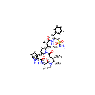 CC[C@H](C)[C@@H]([C@@H](CC(=O)N1CCC[C@H]1[C@H](OC)[C@@H](C)C(=O)N[C@@H](Cc1ccccc1)CS(N)(=O)=O)OC)N(C)C(=O)[C@@H](NC(=O)[C@H]1NC2CC[C@H]1C2)C(C)C